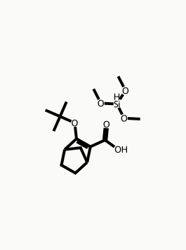 CC(C)(C)OC1=C(C(=O)O)C2CCC1C2.CO[SiH](OC)OC